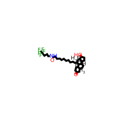 C[C@]12CCC(=O)CC1CC[C@@H]1[C@H]2C(CCCCCCCCCCC(=O)NCCCC(F)(F)C(F)(F)F)C[C@]2(C)C(O)CC[C@@H]12